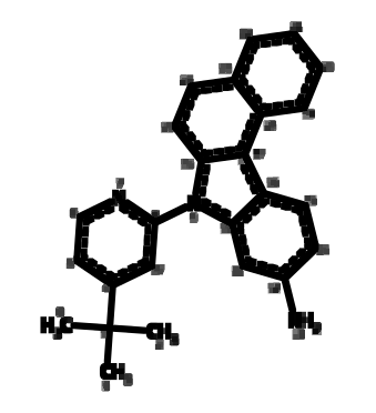 CC(C)(C)c1ccnc(-n2c3cc(N)ccc3c3c4ccccc4ccc32)c1